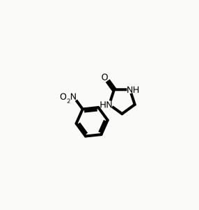 O=C1NCCN1.O=[N+]([O-])c1ccccc1